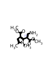 COC(=O)/C(=C\N)c1c(C(=O)OC)cc(C)n1C